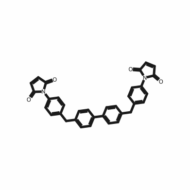 O=C1C=CC(=O)N1c1ccc(Cc2ccc(-c3ccc(Cc4ccc(N5C(=O)C=CC5=O)cc4)cc3)cc2)cc1